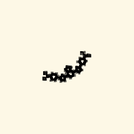 CCN(CC)c1ccc(-c2ccc(-c3ccc(-c4ccc(-c5ccc(N(CC)CC)cc5)s4)c4nsnc34)s2)cc1